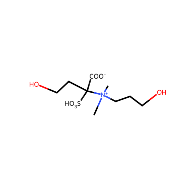 C[N+](C)(CCCO)C(CCO)(C(=O)[O-])S(=O)(=O)O